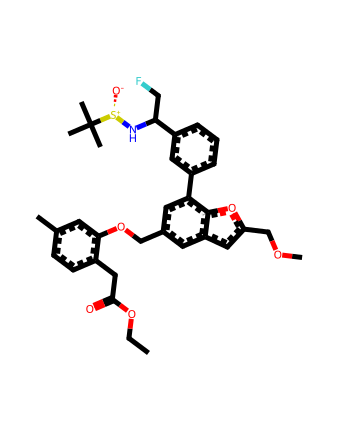 CCOC(=O)Cc1ccc(C)cc1OCc1cc(-c2cccc(C(CF)N[S@@+]([O-])C(C)(C)C)c2)c2oc(COC)cc2c1